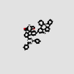 c1ccc(-c2nc(-c3ccccc3)nc(-c3cccc4c3-c3ccc(-c5ccc6c(c5)sc5ccc7c8ccccc8n(-c8ccccc8)c7c56)cc3C43c4ccccc4Oc4ccccc43)n2)cc1